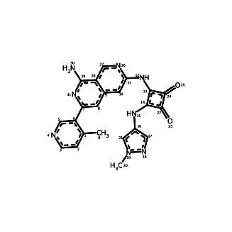 Cc1ccncc1-c1cc2cc(Nc3c(Nc4cnn(C)c4)c(=O)c3=O)ncc2c(N)n1